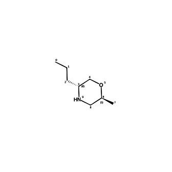 CCC[C@@H]1CO[C@@H](C)CN1